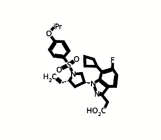 C=C[C@H]1C[C@@H](n2nc(CC(=O)O)c3ccc(F)c(C4CCC4)c32)CN1S(=O)(=O)c1ccc(OC(C)C)cc1